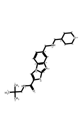 CC(C)(C)CNC(=O)c1cn2c(nc3cc(CNCC4CCOCC4)ccc32)s1